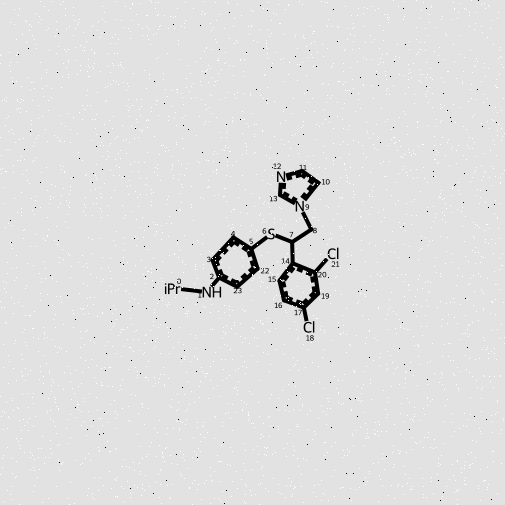 CC(C)Nc1ccc(SC(Cn2ccnc2)c2ccc(Cl)cc2Cl)cc1